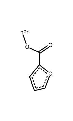 CC[CH]OC(=O)c1ccco1